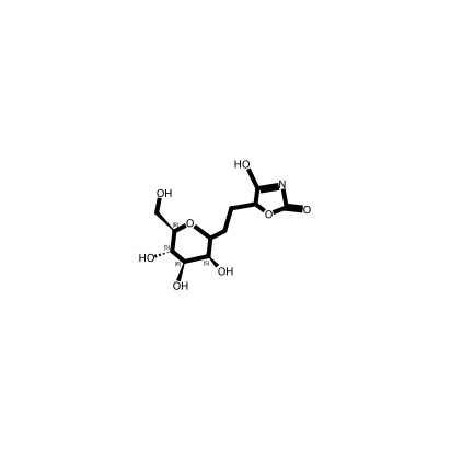 O=C1N=C(O)C(CCC2O[C@H](CO)[C@@H](O)[C@H](O)[C@@H]2O)O1